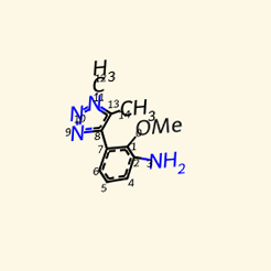 COc1c(N)cccc1-c1nnn(C)c1C